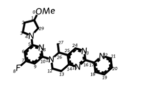 COC1CCN(c2cc(F)cc(N3CCc4nc(-c5ccccn5)ncc4C3C)n2)C1